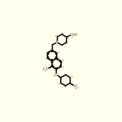 O=CC1CCN(Cc2ccc3c(C(F)(F)F)c(OC4CCC(C(F)(F)F)CC4)ccc3c2)CC1